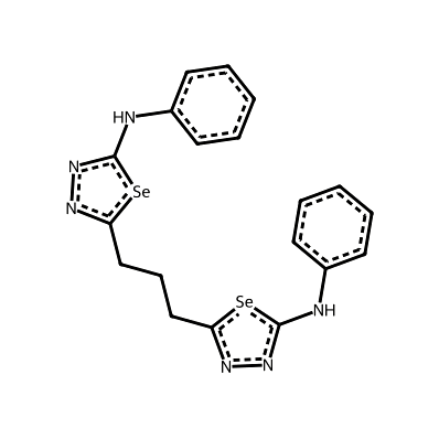 c1ccc(Nc2nnc(CCCc3nnc(Nc4ccccc4)[se]3)[se]2)cc1